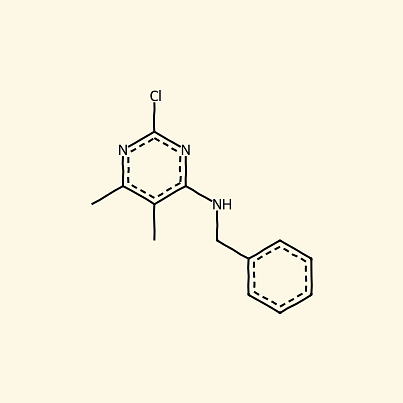 Cc1nc(Cl)nc(NCc2ccccc2)c1C